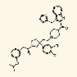 CC(C)Oc1cccc(CC(=O)N2CCC(CCN3CCC(C(=O)c4nc5ccccc5n4Cc4ccco4)CC3)(c3ccc(Cl)c(Cl)c3)C2)c1